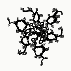 CCc1ccc(OP2(Oc3ccc(CC)cc3)=N[PH](Oc3ccc(CC)cc3)(Oc3ccc(CC)cc3)N[PH](Oc3ccc(CC)cc3)(Oc3ccc(CC)cc3)N2)cc1